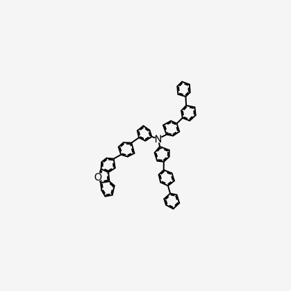 c1ccc(-c2ccc(-c3ccc(N(c4ccc(-c5cccc(-c6ccccc6)c5)cc4)c4cccc(-c5ccc(-c6ccc7oc8ccccc8c7c6)cc5)c4)cc3)cc2)cc1